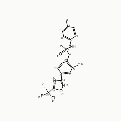 Cc1ccc(NP(C)(=O)Cc2ccc(-c3noc(C(F)(F)Cl)n3)cc2F)cc1